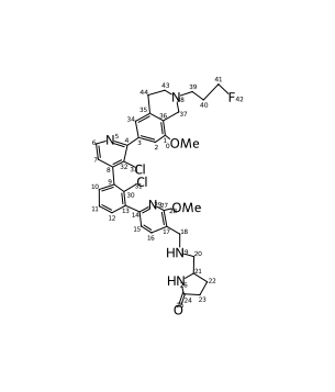 COc1cc(-c2nccc(-c3cccc(-c4ccc(CNCC5CCC(=O)N5)c(OC)n4)c3Cl)c2Cl)cc2c1CN(CCCF)CC2